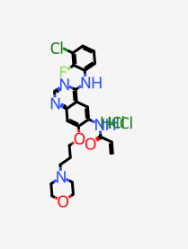 C=CC(=O)Nc1cc2c(Nc3cccc(Cl)c3F)ncnc2cc1OCCCN1CCOCC1.Cl.Cl